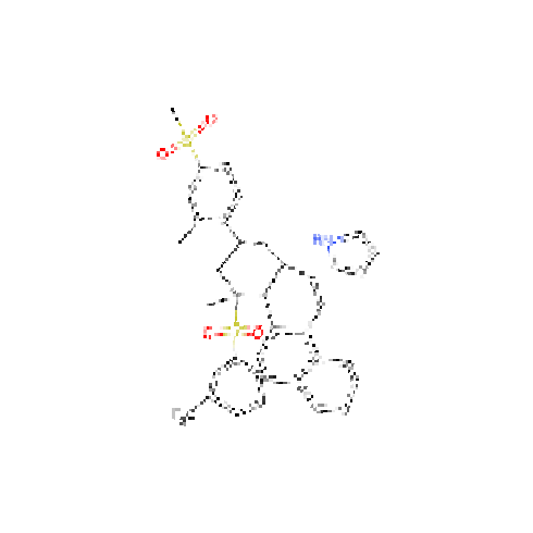 Cc1cc(S(C)(=O)=O)ccc1C1CC2C=Cc3c(ccc4ccccc34)C2C(C)(S(=O)(=O)c2cccc(C(F)(F)F)c2)C1.c1cc[nH]c1